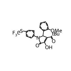 COc1ccccc1C1C(C(=O)C(C)(C)C)=C(O)C(=O)N1c1ccc(SC(F)(F)F)cc1